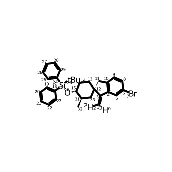 [2H]C([2H])=C1c2cc(Br)ccc2C[C@]12CC[C@@H](O[Si](c1ccccc1)(c1ccccc1)C(C)(C)C)[C@H](C)C2